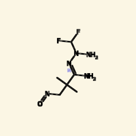 CC(C)(CN=O)/C(N)=N/N(N)C(F)F